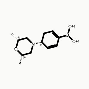 C[C@@H]1CN([C@H]2C=CC(B(O)O)=CC2)C[C@H](C)O1